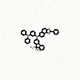 CC1(C)c2ccccc2-c2cc(N(c3cccc(N(c4ccccc4)c4ccccc4)c3)c3ccc4c(ccc5sc(-c6ccccc6)nc54)c3)ccc21